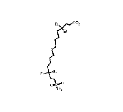 CCC(CC)(CCCCOCCCCC(CC)(CC)CCS(N)(=O)=O)CCC(=O)O